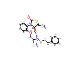 C=C1SC(=O)N(c2ccccc2OCC(C)NCCCc2ccccc2)C1=O